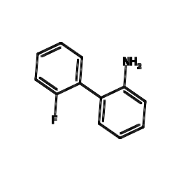 Nc1ccccc1-c1ccccc1F